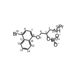 CC(C)NCC(COc1ccc(Br)c2ccccc12)O[Br+2]([O-])[O-]